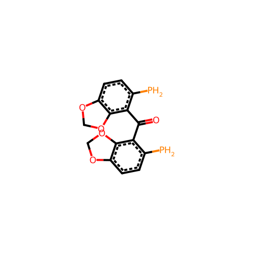 O=C(c1c(P)ccc2c1OCO2)c1c(P)ccc2c1OCO2